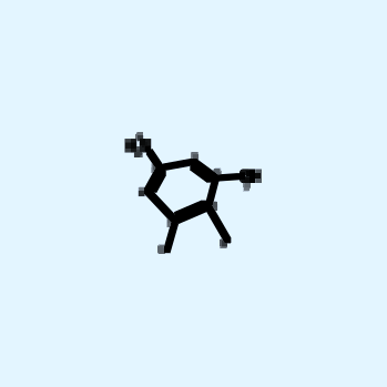 Cc1cc(N)cc(O)c1C